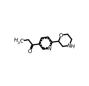 CCC(=O)c1ccc(C2CNCCO2)nc1